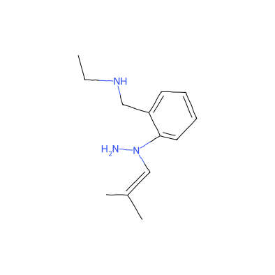 CCNCc1ccccc1N(N)C=C(C)C